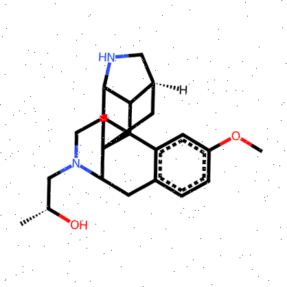 COc1ccc2c(c1)C13CCN(C[C@@H](C)O)C(C2)C12CCC1NC[C@@H](C2)C13